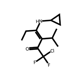 CCC(NC1CC1)=C(C(=O)C(F)(F)Cl)C(C)C